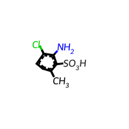 Cc1ccc(Cl)c(N)c1S(=O)(=O)O